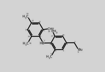 CCC(C)Cc1cc(C)c(Bc2c(C)cc(C)cc2C)c(C)c1